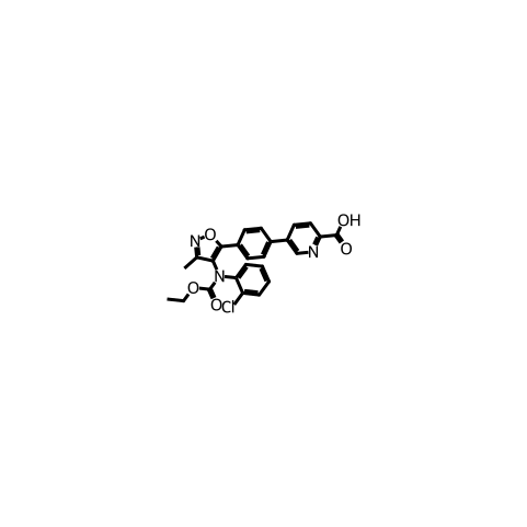 CCOC(=O)N(c1ccccc1Cl)c1c(C)noc1-c1ccc(-c2ccc(C(=O)O)nc2)cc1